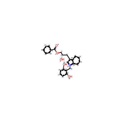 O=C(OC[C@@H](O)Cc1cn(Cc2c(O)cccc2O)c2ccccc12)c1ccccc1